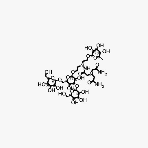 C[C@@H]1O[C@@H](OCCN(CCO[C@H]2O[C@H](CO[C@H]3O[C@H](CO)[C@@H](O)[C@H](O)[C@@H]3O)[C@@H](O)[C@H](O[C@H]3O[C@H](CO)[C@@H](O)[C@H](O)[C@@H]3O)[C@@H]2O)NC(=O)CN(CC(N)=O)CC(N)=O)[C@@H](O)[C@H](O)[C@@H]1O